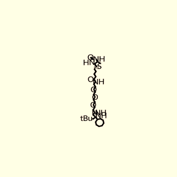 CC(C)(C)CC1(C2CCCCCCC2)CN(CCOCCOCCOCCNC(=O)CCCC[C@@H]2SCC3NC(=O)NC32)NN1